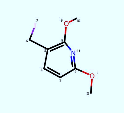 COc1ccc(CI)c(OC)n1